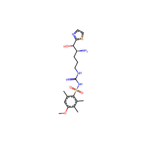 COc1cc(C)c(S(=O)(=O)NC(=N)NCCC[C@H](N)C(O)c2nccs2)c(C)c1C